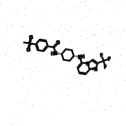 CS(=O)(=O)c1ccc(C(=O)N[C@H]2CC[C@@H](Nc3cccc4nc(C(F)(F)F)cn34)CC2)cc1